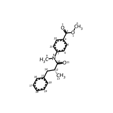 COC(=O)c1ccc(N(C)C(=O)[C@H](C)Cc2ccccc2)cc1